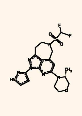 C[C@@H]1COCCN1c1cc2c3c(nn(-c4cc[nH]n4)c3n1)CCN(S(=O)(=O)C(F)F)C2